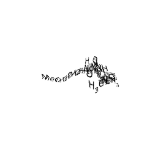 COCCOCCOCCOCCNC(=O)CN1CC2(CCC(c3ccccc3)(N(C)C)CC2)NC1=O